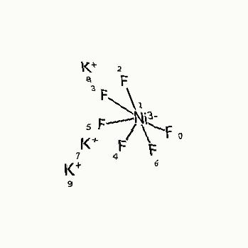 [F][Ni-3]([F])([F])([F])([F])[F].[K+].[K+].[K+]